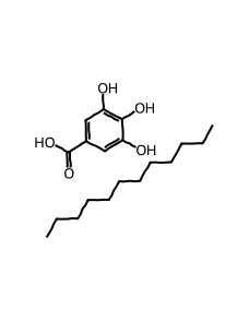 CCCCCCCCCCCC.O=C(O)c1cc(O)c(O)c(O)c1